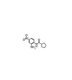 Nc1cc([N+](=O)[O-])ccc1NC(=O)C1CCCC1